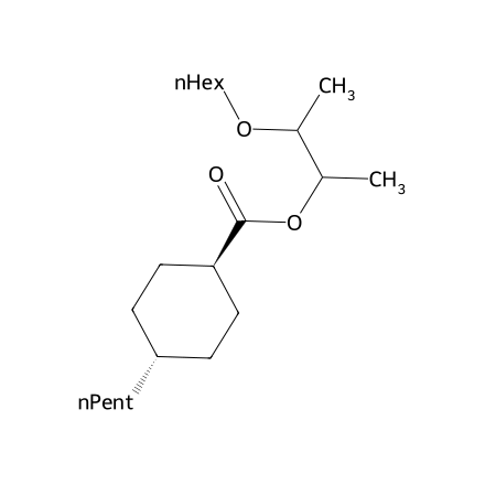 CCCCCCOC(C)C(C)OC(=O)[C@H]1CC[C@H](CCCCC)CC1